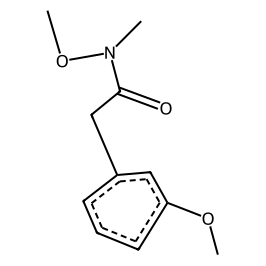 COc1cccc(CC(=O)N(C)OC)c1